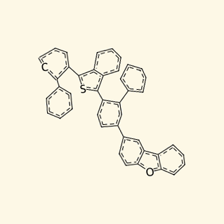 c1ccc(-c2ccccc2-c2sc(-c3ccc(-c4ccc5oc6ccccc6c5c4)cc3-c3ccccc3)c3ccccc23)cc1